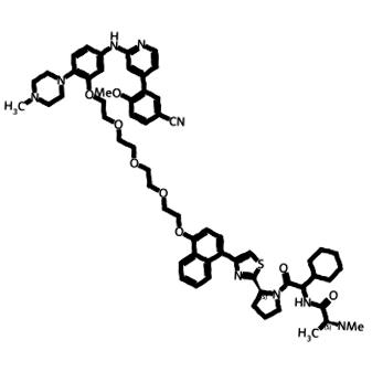 CN[C@@H](C)C(=O)NC(C(=O)N1CCC[C@H]1c1nc(-c2ccc(OCCOCCOCCOCCOc3cc(Nc4cc(-c5cc(C#N)ccc5OC)ccn4)ccc3N3CCN(C)CC3)c3ccccc23)cs1)C1CCCCC1